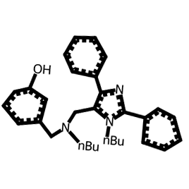 CCCCN(Cc1cccc(O)c1)Cc1c(-c2ccccc2)nc(-c2ccccc2)n1CCCC